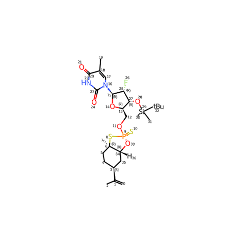 C=C(C)[C@H]1CC[C@@]2(C)SP(=S)(OC[C@H]3O[C@@H](n4cc(C)c(=O)[nH]c4=O)[C@H](F)[C@@H]3O[Si](C)(C)C(C)(C)C)O[C@@H]2C1